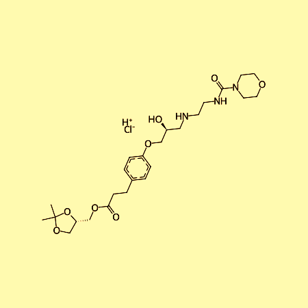 CC1(C)OC[C@@H](COC(=O)CCc2ccc(OC[C@@H](O)CNCCNC(=O)N3CCOCC3)cc2)O1.[Cl-].[H+]